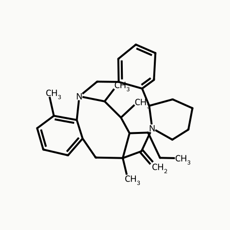 C=C1N2CCCCC2c2ccccc2CN2c3c(C)cccc3CC1(C)C(CCC)C(C)C2C